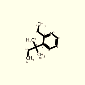 CCc1ncccc1C(C)(C)CC